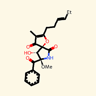 CC/C=C/CCC1=C(C)C(=O)[C@]2(O1)C(=O)N[C@](OC)(C(=O)c1ccccc1)[C@@H]2O